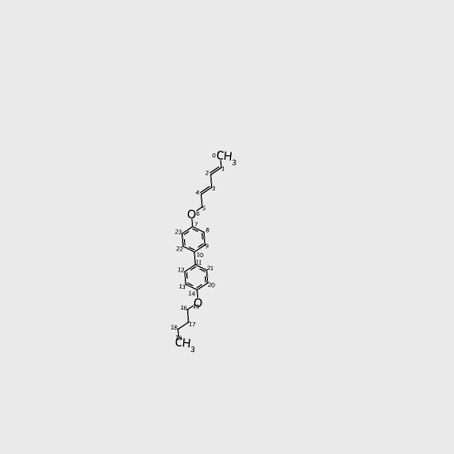 CC=CC=CCOc1ccc(-c2ccc(OCCCC)cc2)cc1